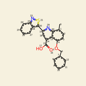 Cc1ccc(OCc2ccccc2)c2c(C(=O)O)cc(-c3snc4ccccc34)nc12